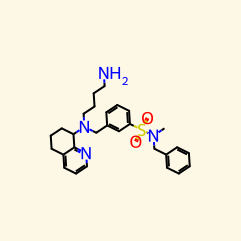 CN(Cc1ccccc1)S(=O)(=O)c1cccc(CN(CCCCN)C2CCCc3cccnc32)c1